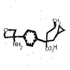 C=CCC(CC1CC1)(C(=O)O)c1ccc(C2(N)COC2)cc1